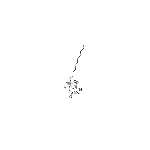 CCCCCCCCCCC[C@]1(C)OO[C@@H]2C[C@H]1CC(=O)[C@@H]2C